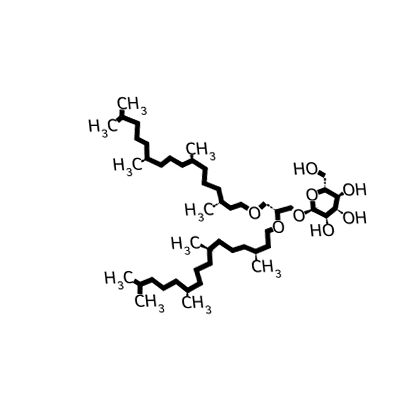 CC(C)CCC[C@@H](C)CCC[C@@H](C)CCC[C@@H](C)CCOC[C@H](CO[C@H]1O[C@H](CO)[C@@H](O)[C@H](O)[C@@H]1O)OCC[C@H](C)CCC[C@H](C)CCC[C@H](C)CCCC(C)C